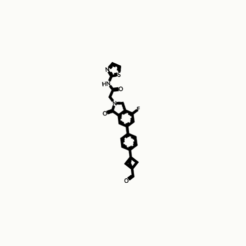 O=CC12CC(c3ccc(-c4cc(F)c5c(c4)C(=O)N(CC(=O)Nc4nccs4)C5)cc3)(C1)C2